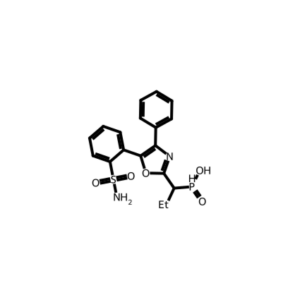 CCC(c1nc(-c2ccccc2)c(-c2ccccc2S(N)(=O)=O)o1)[PH](=O)O